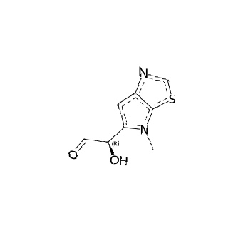 Cn1c([C@@H](O)C=O)cc2ncsc21